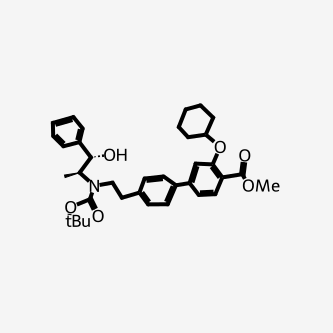 COC(=O)c1ccc(-c2ccc(CCN(C(=O)OC(C)(C)C)[C@@H](C)[C@@H](O)c3ccccc3)cc2)cc1OC1CCCCC1